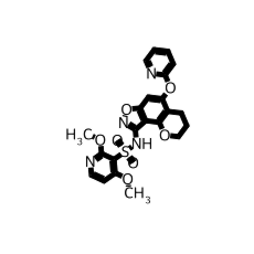 COc1ccnc(OC)c1S(=O)(=O)Nc1noc2cc(Oc3ccccn3)c3c(c12)OCCC3